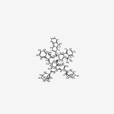 CC1(C)c2ccccc2-c2ccc(N3c4cc5c(cc4B4c6c(cc7c(oc8ccccc87)c63)-c3cc(C67CCC8CC(CC8C6)C7)cc6c7cc(C89CCC%10CC(CC%10C8)C9)ccc7n4c36)C(C)(C)c3ccccc3-5)cc21